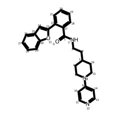 O=C(NCCC1CCN(c2ccncc2)CC1)c1ccccc1-c1cc2ccccc2o1